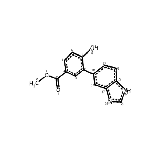 COC(=O)c1ccc(O)c(-c2ccc3[nH]cnc3c2)c1